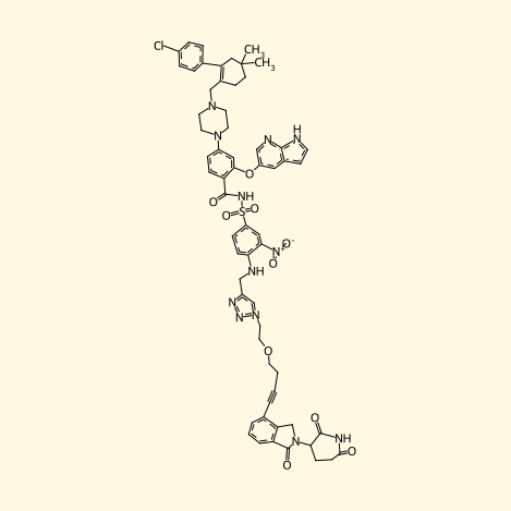 CC1(C)CCC(CN2CCN(c3ccc(C(=O)NS(=O)(=O)c4ccc(NCc5cn(CCOCCC#Cc6cccc7c6CN(C6CCC(=O)NC6=O)C7=O)nn5)c([N+](=O)[O-])c4)c(Oc4cnc5[nH]ccc5c4)c3)CC2)=C(c2ccc(Cl)cc2)C1